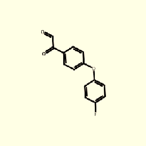 O=CC(=O)c1ccc(Oc2ccc(F)cc2)cc1